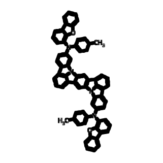 Cc1ccc(N(c2ccc3c4cccc5c6cc7c(cc6n(c3c2)c45)c2cccc3c4ccc(N(C5=CCC(C)C=C5)c5cccc6c5oc5ccccc56)cc4n7c32)c2cccc3c2oc2ccccc23)cc1